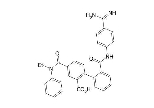 CCN(C(=O)c1ccc(-c2ccccc2C(=O)Nc2ccc(C(=N)N)cc2)c(C(=O)O)c1)c1ccccc1